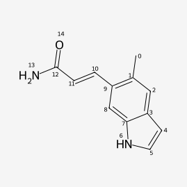 Cc1cc2cc[nH]c2cc1C=CC(N)=O